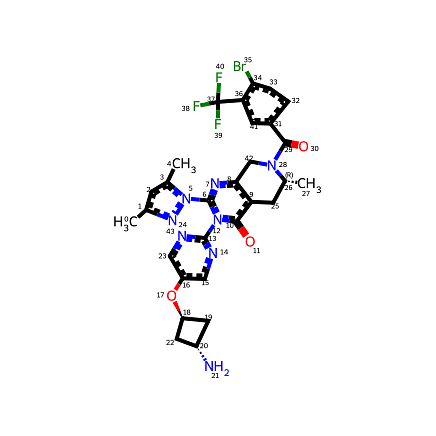 Cc1cc(C)n(-c2nc3c(c(=O)n2-c2ncc(O[C@H]4C[C@H](N)C4)cn2)C[C@@H](C)N(C(=O)c2ccc(Br)c(C(F)(F)F)c2)C3)n1